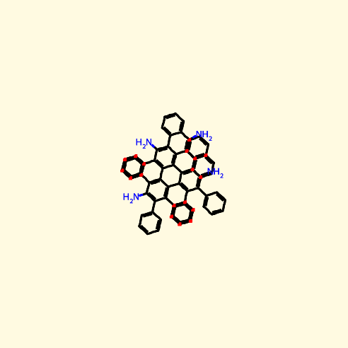 Nc1c(-c2ccccc2)c(-c2ccccc2)c2c3c(-c4ccccc4)c(-c4ccccc4)c(N)c(-c4ccccc4)c3c3c4c(-c5ccccc5)c(N)c5ccccc5c4c(N)c(-c4ccccc4)c3c2c1-c1ccccc1